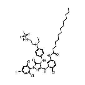 CCCCCCCCCCCCCC(=O)Nc1ccc(Cl)c(NC2=NN(c3c(Cl)cc(Cl)cc3Cl)C(=O)C2Nc2ccc(N(CC)CCNS(C)(=O)=O)cc2)c1